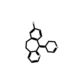 Clc1ccc2c(c1)CCc1cccnc1C2=C1CC=NCC1